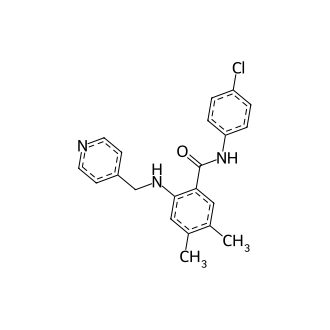 Cc1cc(NCc2ccncc2)c(C(=O)Nc2ccc(Cl)cc2)cc1C